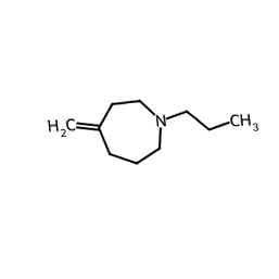 C=C1CCCN(CCC)CC1